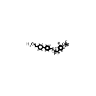 CCCC1CCC(c2ccc(COC(F)(F)C(F)c3ccc(OC(F)(F)F)c(F)c3)cc2)CC1